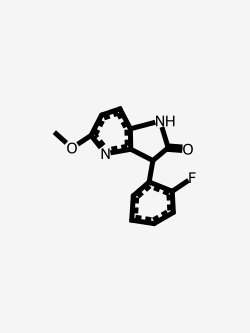 COc1ccc2c(n1)C(c1ccccc1F)C(=O)N2